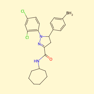 Bc1ccc(C2CC(C(=O)NC3CCCCCC3)=NN2c2ccc(Cl)cc2Cl)cc1